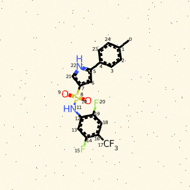 Cc1ccc(-c2cc(S(=O)(=O)Nc3cc(F)c(C(F)(F)F)cc3F)c[nH]2)cc1